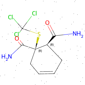 NC(=O)[C@H]1CC=CC[C@]1(SC(Cl)(Cl)Cl)C(N)=O